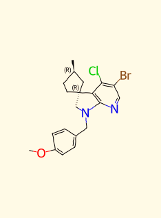 COc1ccc(CN2C[C@@]3(CC[C@@H](C)C3)c3c2ncc(Br)c3Cl)cc1